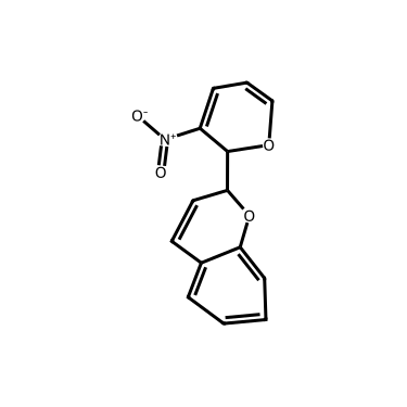 O=[N+]([O-])C1=CC=COC1C1C=Cc2ccccc2O1